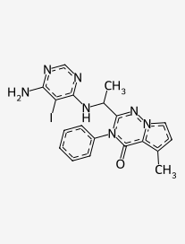 Cc1ccn2nc(C(C)Nc3ncnc(N)c3I)n(-c3ccccc3)c(=O)c12